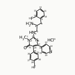 Cl.Cn1c(NCC(N)Cc2ccccc2F)nc(-c2ccncc2)c(-c2ccc(F)cc2)c1=O